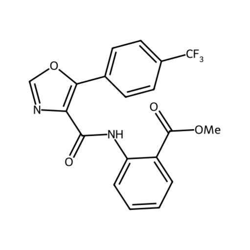 COC(=O)c1ccccc1NC(=O)c1ncoc1-c1ccc(C(F)(F)F)cc1